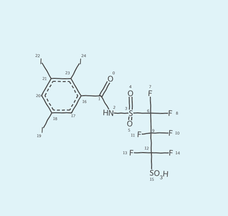 O=C(NS(=O)(=O)C(F)(F)C(F)(F)C(F)(F)S(=O)(=O)O)c1cc(I)cc(I)c1I